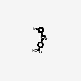 O=C(O)C1CCC(c2nc(-c3cccc(Br)c3)c[nH]2)CC1